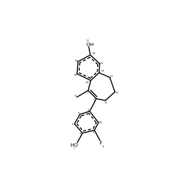 CC1=C(c2ccc(O)c(F)c2)CCCc2cc(O)ccc21